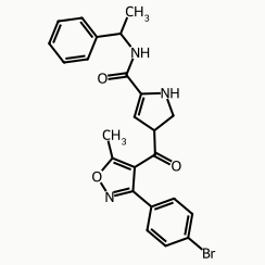 Cc1onc(-c2ccc(Br)cc2)c1C(=O)C1C=C(C(=O)NC(C)c2ccccc2)NC1